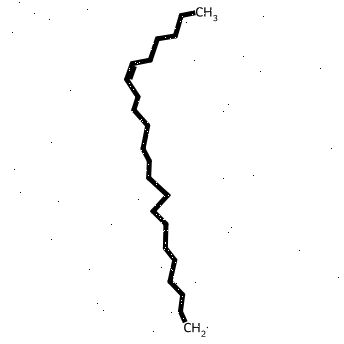 [CH2]CCCCCCCCCCCCCC/C=C\CCCCC